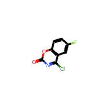 O=c1nc(Cl)c2cc(F)ccc2o1